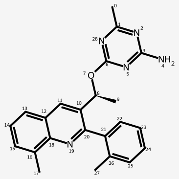 Cc1nc(N)nc(O[C@@H](C)c2cc3cccc(C)c3nc2-c2ccccc2C)n1